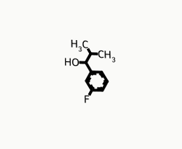 CC(C)C(O)c1cccc(F)c1